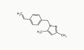 C=Cc1ccc(Cn2nc(C)cc2C)cc1